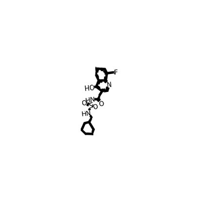 O=C(NS(=O)(=O)NCC1CCCCC1)c1cnc2c(F)cccc2c1O